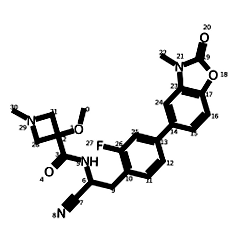 COC1(C(=O)NC(C#N)Cc2ccc(-c3ccc4oc(=O)n(C)c4c3)cc2F)CN(C)C1